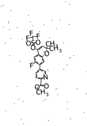 COC(=O)c1ccc(-c2cc3c(cc2F)C(OS(=O)(=O)C(F)(F)F)=CC(C)(C)O3)cn1